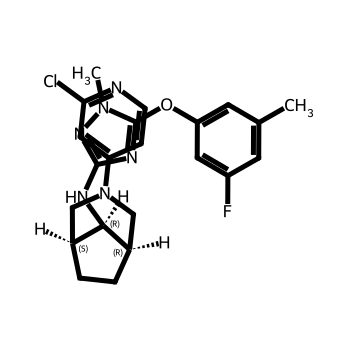 Cc1cc(F)cc(Oc2nc(N[C@H]3[C@@H]4CC[C@H]3CN(c3ccnc(Cl)c3)C4)nn2C)c1